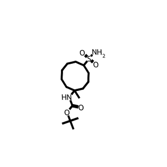 CC1(NC(=O)OC(C)(C)C)CCCCCC(S(N)(=O)=O)CCC1